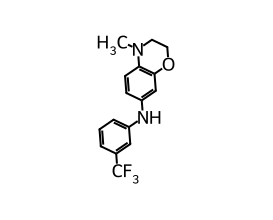 CN1CCOc2cc(Nc3cccc(C(F)(F)F)c3)ccc21